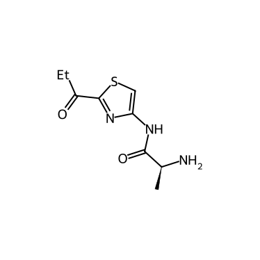 CCC(=O)c1nc(NC(=O)[C@H](C)N)cs1